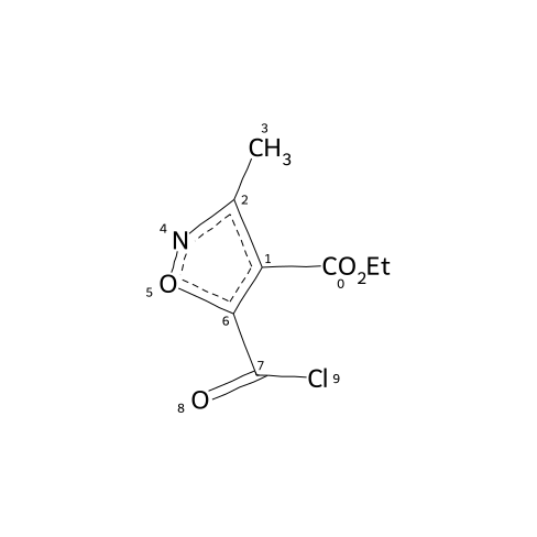 CCOC(=O)c1c(C)noc1C(=O)Cl